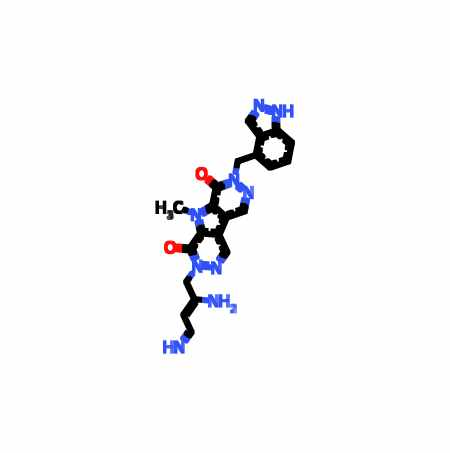 Cn1c2c(=O)n(C/C(N)=C/C=N)ncc2c2cnn(Cc3cccc4[nH]ncc34)c(=O)c21